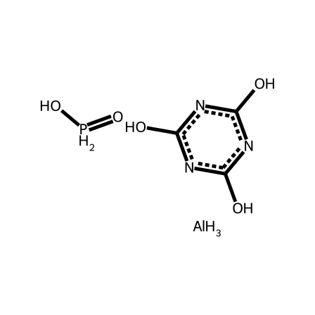 O=[PH2]O.Oc1nc(O)nc(O)n1.[AlH3]